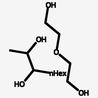 CCCCCCC(O)C(C)O.OCCOCCO